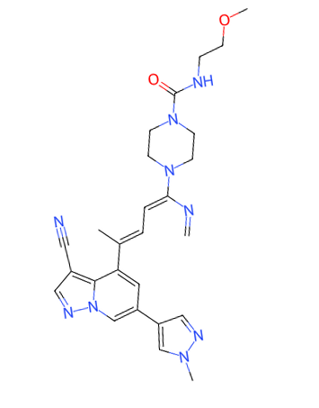 C=N/C(=C\C=C(/C)c1cc(-c2cnn(C)c2)cn2ncc(C#N)c12)N1CCN(C(=O)NCCOC)CC1